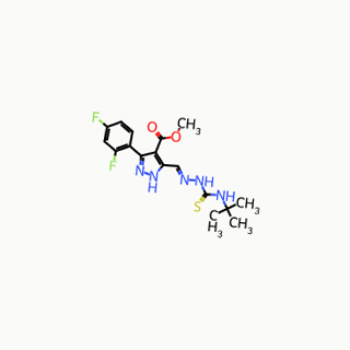 COC(=O)c1c(-c2ccc(F)cc2F)n[nH]c1C=NNC(=S)NC(C)(C)C